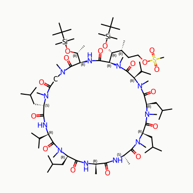 CC(C)C[C@@H]1C(=O)N(C)[C@H](CC(C)C)C(=O)N(C)[C@H](C(C)C)C(=O)N(C)[C@H]([C@H](O[Si](C)(C)C(C)(C)C)[C@H](C)CCOS(C)(=O)=O)C(=O)N[C@H]([C@@H](C)O[Si](C)(C)C(C)(C)C)C(=O)N(C)CC(=O)N(C)[C@@H](CC(C)C)C(=O)N[C@H](C(C)C)C(=O)N(C)[C@H](CC(C)C)C(=O)N[C@H](C)C(=O)N[C@@H](C)C(=O)N1C